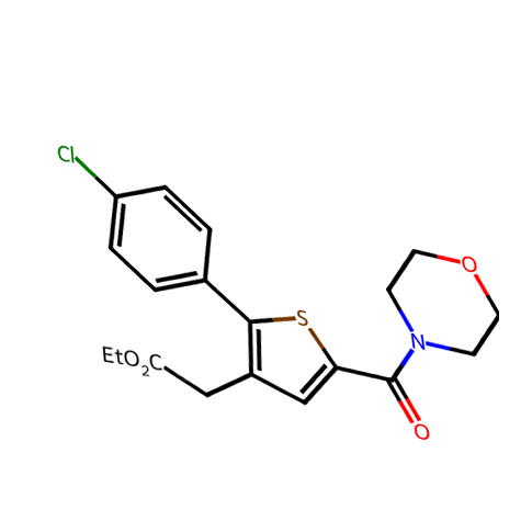 CCOC(=O)Cc1cc(C(=O)N2CCOCC2)sc1-c1ccc(Cl)cc1